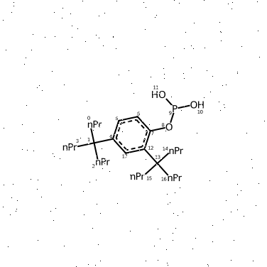 CCCC(CCC)(CCC)c1ccc(OP(O)O)c(C(CCC)(CCC)CCC)c1